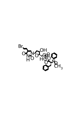 CON(c1ccccc1)[C@@H](Cc1ccccc1)C(=O)OP(=O)(O)OC[C@H]1O[C@@H](n2cc(/C=C/Br)c(=O)[nH]c2=O)C[C@@H]1O